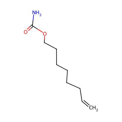 C=CCCCCCCOC(N)=O